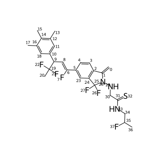 C=C1c2ccc(/C(F)=C/C(c3cc(C)c(C)c(C)c3)C(C)(F)F)cc2C(F)(F)N1NCC(=S)NCC(C)F